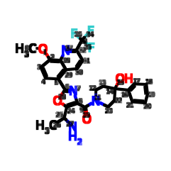 COc1ccc(-c2nc(C(=O)N3CCC(O)(c4ccccc4)CC3)c(C(C)N)o2)c2ccc(C(F)(F)F)nc12